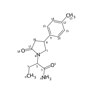 CCC(C(N)=O)N1CC(c2ccc(C)cc2)CC1=O